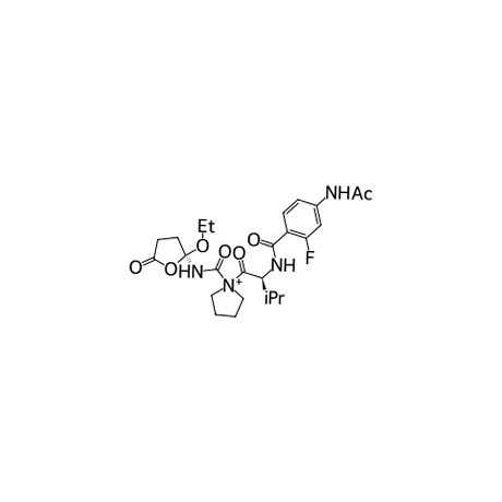 CCO[C@]1(NC(=O)[N+]2(C(=O)[C@@H](NC(=O)c3ccc(NC(C)=O)cc3F)C(C)C)CCCC2)CCC(=O)O1